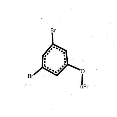 CCCOc1cc(Br)cc(Br)c1